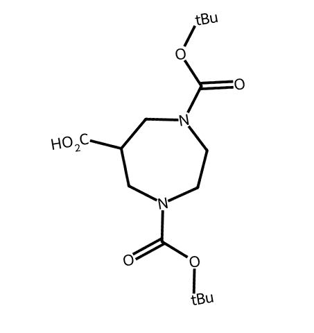 CC(C)(C)OC(=O)N1CCN(C(=O)OC(C)(C)C)CC(C(=O)O)C1